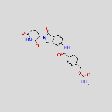 NC(=O)OCc1ccc(C(=O)Nc2ccc3c(c2)CN(C2CCC(=O)NC2=O)C3=O)cc1